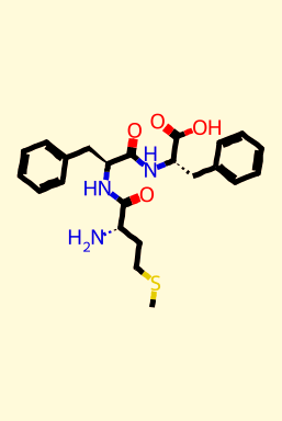 CSCC[C@H](N)C(=O)N[C@@H](Cc1ccccc1)C(=O)N[C@@H](Cc1ccccc1)C(=O)O